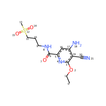 CCOc1nc(C(=O)NCCCS(C)(=O)=O)cc(N)c1C#N